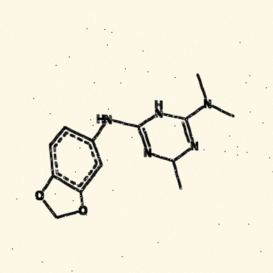 CC1N=C(Nc2ccc3c(c2)OCO3)NC(N(C)C)=N1